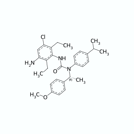 CCc1c(N)cc(Cl)c(CC)c1NC(=O)N(c1ccc(C(C)C)cc1)[C@H](C)c1ccc(OC)cc1